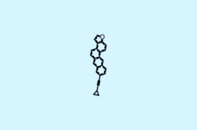 C(#CC1CC1)c1ccc2cc3c(ccc4c5ccoc5ccc34)cc2c1